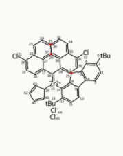 CC(C)(C)c1ccc2c(c1)Cc1c-2ccc(C(C)(C)C)[c]1[Zr+2](=[C](c1ccc(Cl)c2ccccc12)c1ccc(Cl)c2ccccc12)[CH]1C=CC=C1.[Cl-].[Cl-]